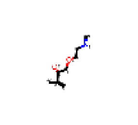 C=NCCOCC(=O)C(=C)C